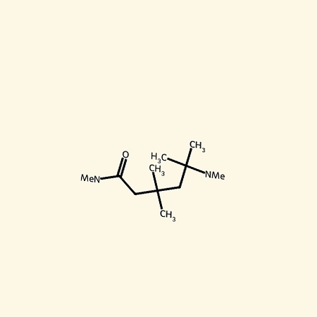 CNC(=O)CC(C)(C)CC(C)(C)NC